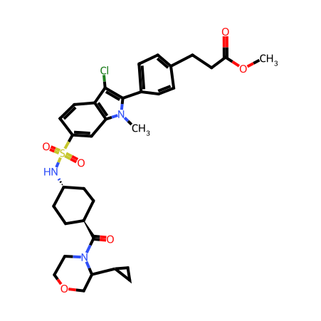 COC(=O)CCc1ccc(-c2c(Cl)c3ccc(S(=O)(=O)N[C@H]4CC[C@H](C(=O)N5CCOCC5C5CC5)CC4)cc3n2C)cc1